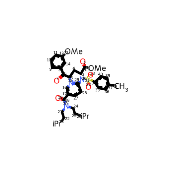 COC(=O)CCC(C(=O)c1cccc(OC)c1)n1cc(C(=O)N(CCC(C)C)CCC(C)C)ccc1=NS(=O)(=O)c1ccc(C)cc1